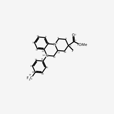 COC(=O)C1(C)CCN2c3ccccc3N(c3ccc(C(F)(F)F)cc3)CC2C1